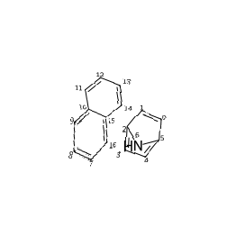 c1cc2ccc1[nH]2.c1ccc2ccccc2c1